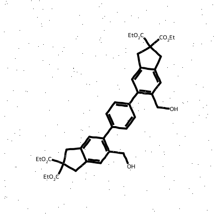 CCOC(=O)C1(C(=O)OCC)Cc2cc(CO)c(-c3ccc(-c4cc5c(cc4CO)CC(C(=O)OCC)(C(=O)OCC)C5)cc3)cc2C1